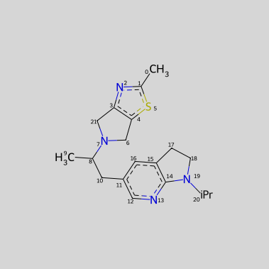 Cc1nc2c(s1)CN(C(C)Cc1cnc3c(c1)CCN3C(C)C)C2